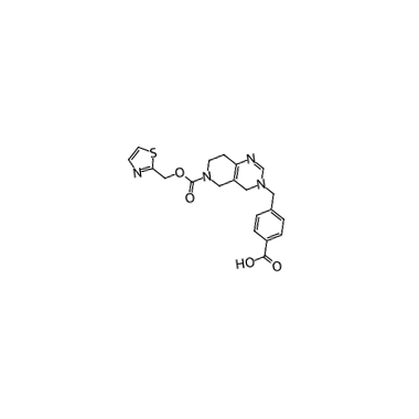 O=C(O)c1ccc(CN2C=NC3=C(C2)CN(C(=O)OCc2nccs2)CC3)cc1